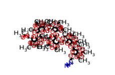 CC(=O)OC[C@H]1O[C@@H](OCC2OC(OC[C@H]3O[C@@H](OCC4OC(OC[C@H]5O[C@@H](OCC6OC(OCCN=[N+]=[N-])[C@H](OC(C)=O)C(OC(C)=O)[C@@H]6OC(C)=O)C(OC(C)=O)[C@@H](OC(C)=O)C5OC(C)=O)[C@H](OC(C)=O)C(OC(C)=O)[C@@H]4OC(C)=O)C(OC(C)=O)[C@@H](OC(C)=O)C3OC(C)=O)[C@H](OC(C)=O)C(OC(C)=O)[C@@H]2OC(C)=O)C(OC(C)=O)[C@@H](OC(C)=O)C1OC(C)=O